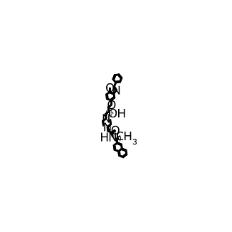 C[C@H](NC(=O)CN1CCN(C[C@@H](O)COc2ccc3oc(-c4ccccc4)nc3c2)CC1)c1ccc2ccccc2c1